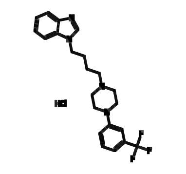 Cl.FC(F)(F)c1cccc(N2CCN(CCCCn3cnc4ccccc43)CC2)c1